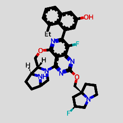 CCc1cccc2cc(O)cc(-c3nc4c5c(nc(OC[C@@]67CCCN6C[C@@H](F)C7)nc5c3F)N3CC5CC[C@H](N5)[C@@H]3CO4)c12